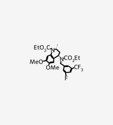 CCOC(=O)N(Cc1cc(F)cc(C(F)(F)F)c1)[C@H]1C[C@@H](C)N(C(=O)OCC)c2cc(OC)c(OC)cc21